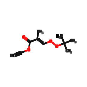 C#COC(=O)C(C)=COOC(C)(C)C